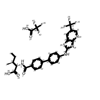 CC[C@H](C)[C@H](NC(=O)c1ccc(-c2ccc(Nc3nc4ncc(C(F)(F)F)cc4s3)cc2)cc1)C(=O)O.O=C(O)C(F)(F)F